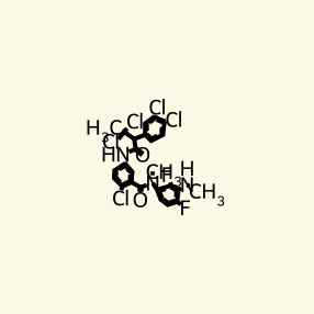 CNc1c(F)ccc(N(C)C(=O)c2cc(NC(=O)C(c3ccc(Cl)c(Cl)c3)C(C)(Cl)Cl)ccc2Cl)c1F